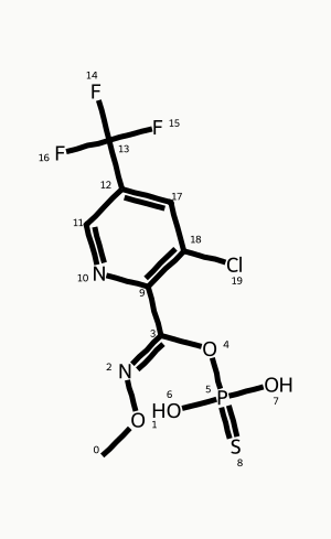 CON=C(OP(O)(O)=S)c1ncc(C(F)(F)F)cc1Cl